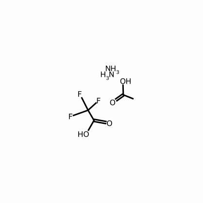 CC(=O)O.N.N.O=C(O)C(F)(F)F